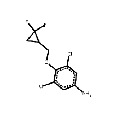 Nc1cc(Cl)c(OCC2CC2(F)F)c(Cl)c1